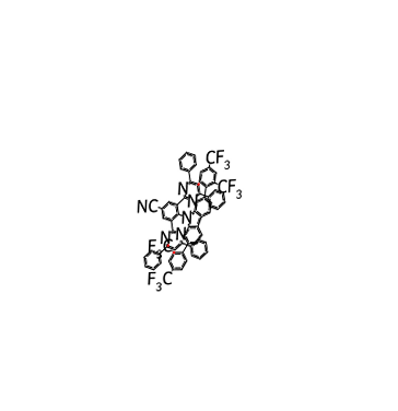 N#Cc1cc(-c2nc(-c3ccccc3)cc(-c3ccccc3)n2)c(-n2c3cc(-c4ccc(C(F)(F)F)cc4C(F)(F)F)ccc3c3ccc(-c4ccc(C(F)(F)F)cc4C(F)(F)F)cc32)c(-c2nc(-c3ccccc3)cc(-c3ccccc3)n2)c1